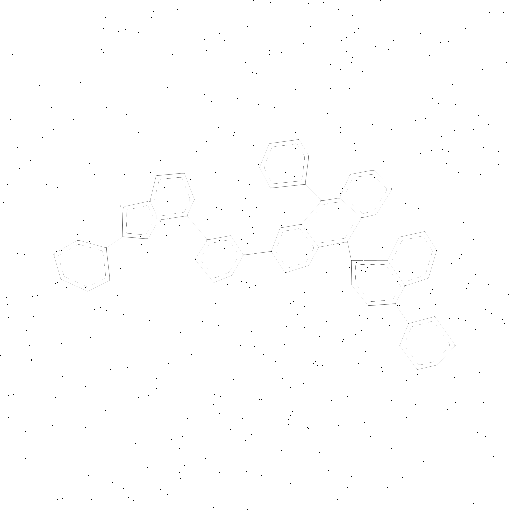 c1ccc(-c2cn3c(-c4cccc(-c5ccc6c(-c7ccc(-c8ccccc8)c8ccccc78)c7ccccc7c(-c7ccccc7)c6c5)c4)cccc3n2)cc1